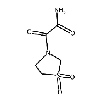 NC(=O)C(=O)N1CCS(=O)(=O)C1